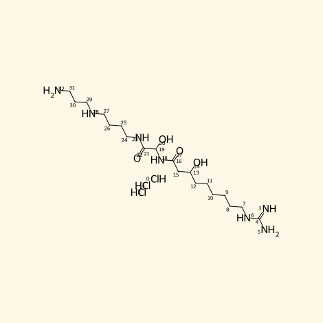 Cl.Cl.Cl.N=C(N)NCCCCCCC(O)CC(=O)NC(O)C(=O)NCCCCNCCCN